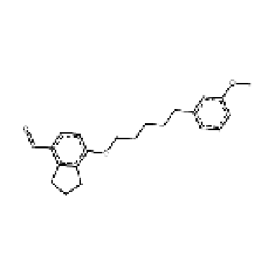 COc1cccc(CCCCCOc2ccc(C=O)c3c2CCC3)c1